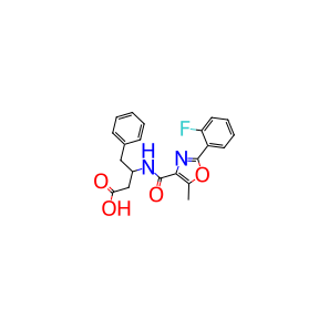 Cc1oc(-c2ccccc2F)nc1C(=O)NC(CC(=O)O)Cc1ccccc1